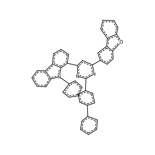 c1ccc(-c2ccc(-c3nc(-c4ccc5oc6ccccc6c5c4)cc(-c4cccc5c6ccccc6n(-c6ccccc6)c45)n3)cc2)cc1